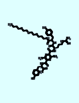 N=C(N)NCCC[C@H](NC(=O)c1nc(N)c(C(=O)N[C@@H](Cc2ccc(O)cc2)C(N)=O)nc1N)C(=O)NC(Cc1ccc(O)cc1)C(=O)NCCCOCCOCCOCCCN